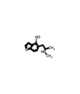 CNC(C)Cc1ccc2occc2c1F.Cl